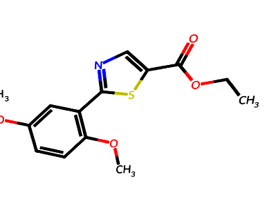 CCOC(=O)c1cnc(-c2cc(OC)ccc2OC)s1